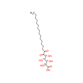 CCCCCCCCCCCCCCCC(=O)C(=O)[C@H](O)[C@@H](O)[C@H](O)[C@H](O)C(=O)O